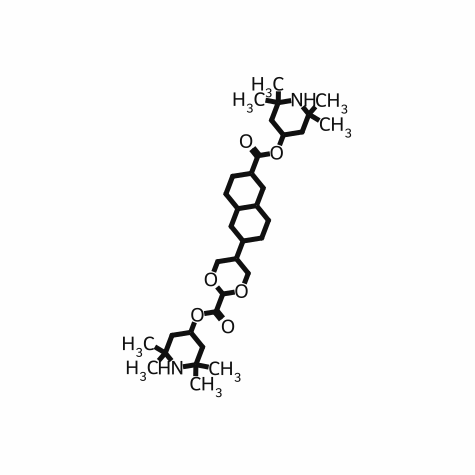 CC1(C)CC(OC(=O)C2CCC3CC(C4COC(C(=O)OC5CC(C)(C)NC(C)(C)C5)OC4)CCC3C2)CC(C)(C)N1